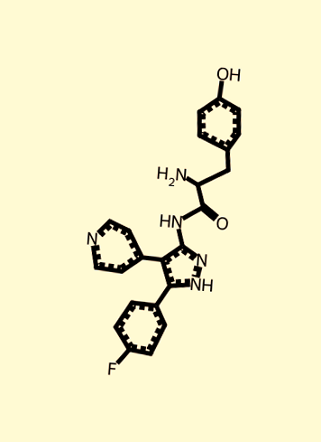 NC(Cc1ccc(O)cc1)C(=O)Nc1n[nH]c(-c2ccc(F)cc2)c1-c1ccncc1